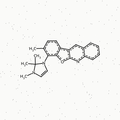 Cc1ccc2c(oc3nc4ccccc4cc32)c1N1C=CN(C)C1(C)C